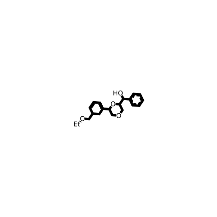 CCOCC1C=CC=C(C2COCC(C(O)c3ccccc3)O2)C1